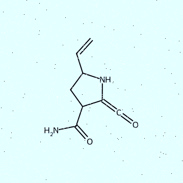 C=CC1CC(C(N)=O)C(=C=O)N1